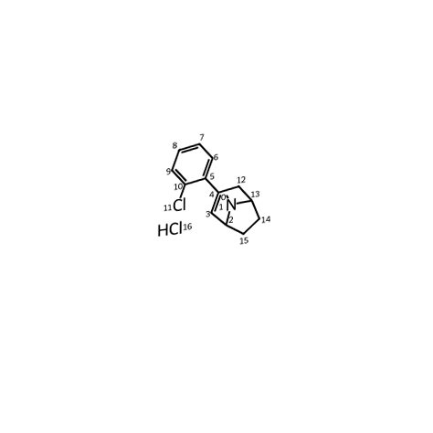 CN1C2C=C(c3ccccc3Cl)CC1CC2.Cl